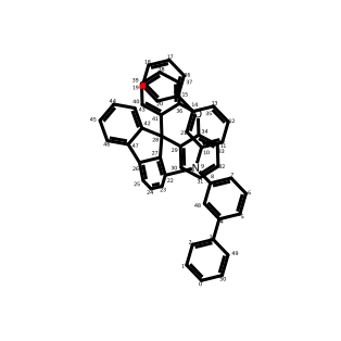 c1ccc(-c2cccc(N(c3cccc(-c4ccccc4)c3)c3cccc4c3C3(c5ccccc5Oc5ccccc53)c3ccccc3-4)c2)cc1